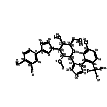 CO[C@@H]1[C@@H](n2cc(-c3ccc(Br)c(F)c3)nn2)[C@@H](O)[C@@H](CO)O[C@H]1c1nncn1-c1cc(Cl)ccc1C(F)(F)F